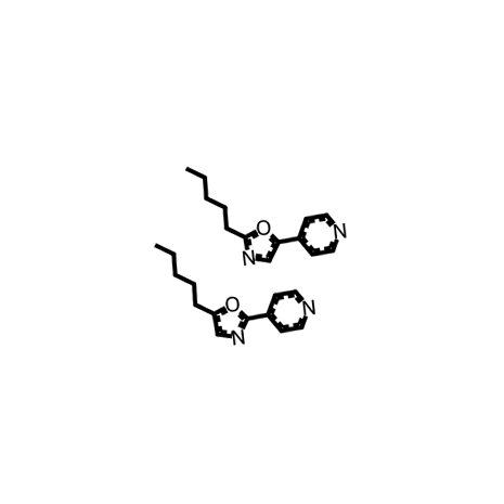 CCCCCc1cnc(-c2ccncc2)o1.CCCCCc1ncc(-c2ccncc2)o1